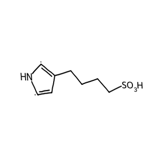 O=S(=O)(O)CCCCc1[c][nH][c]c1